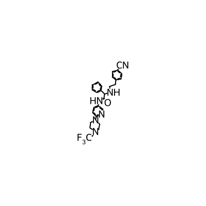 N#Cc1ccc(CCNC(C(=O)Nc2ccc(N3CCN(CC(F)(F)F)CC3)nc2)c2ccccc2)cc1